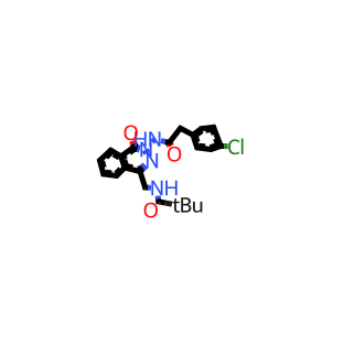 CC(C)(C)C(=O)NCc1nn(NC(=O)Cc2ccc(Cl)cc2)c(=O)c2ccccc12